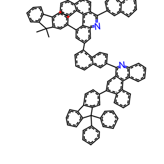 CC1(C)c2ccccc2-c2ccc(-c3cc(-c4cccc5cc(-c6nc7ccccc7c7c6cc(-c6ccc8c(c6)C(c6ccccc6)(c6ccccc6)c6ccccc6-8)c6ccccc67)ccc45)cc4nc(-c5ccc6ccccc6c5)c5ccc6ccccc6c5c34)cc21